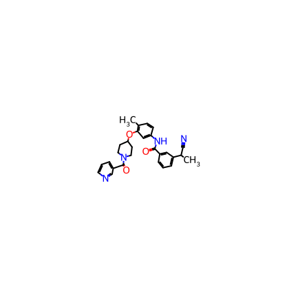 Cc1ccc(NC(=O)c2cccc(C(C)C#N)c2)cc1OC1CCN(C(=O)c2cccnc2)CC1